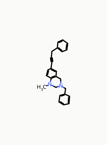 CN1CN(Cc2ccccc2)Cc2cc(C#CCc3ccccc3)ccc21